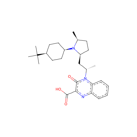 C[C@@H](C[C@@H]1CC[C@H](C)N1[C@H]1CC[C@@H](C(C)(C)C)CC1)n1c(=O)c(C(=O)O)nc2ccccc21